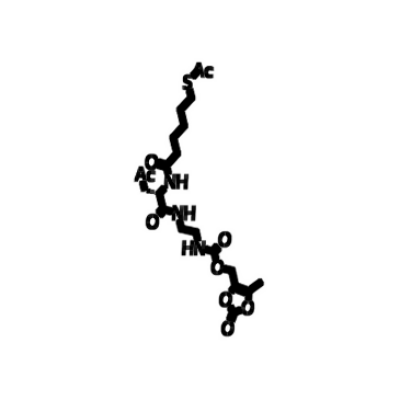 CC(=O)C[C@H](NC(=O)CCCCCSC(C)=O)C(=O)NCCNC(=O)OCc1oc(=O)oc1C